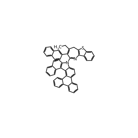 CCC1=C(c2ccc3ccccc3c2)C(n2c3ccc4ccccc4c3c3c4c5ccccc5c5ccccc5c4ccc32)=Nc2c(sc3ccccc23)C1